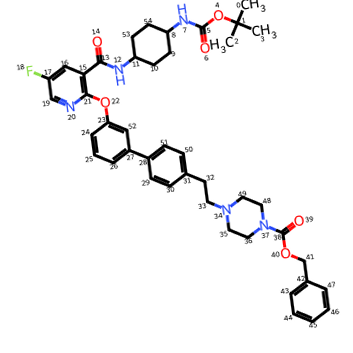 CC(C)(C)OC(=O)NC1CCC(NC(=O)c2cc(F)cnc2Oc2cccc(-c3ccc(CCN4CCN(C(=O)OCc5ccccc5)CC4)cc3)c2)CC1